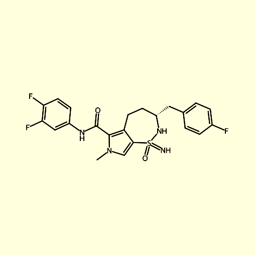 Cn1cc2c(c1C(=O)Nc1ccc(F)c(F)c1)CC[C@H](Cc1ccc(F)cc1)NS2(=N)=O